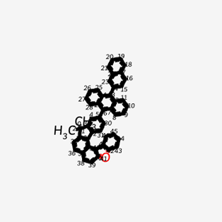 CC1(C)c2cc(-c3c4ccccc4c(-c4ccc5ccccc5c4)c4ccccc34)ccc2-c2c1ccc1ccc3oc4ccccc4c3c21